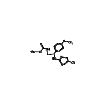 CC(C)(C)OC(=O)NCC(Nc1ncc(C#N)cn1)c1ccc(OC(F)(F)F)cc1